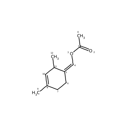 CC(=O)O/C=C1/CCC(C)=CC1C